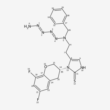 NN=NN=NN(CCc1c[nH]c(=S)n1[C@H]1COc2c(F)cc(F)cc2C1)Cc1ccccc1